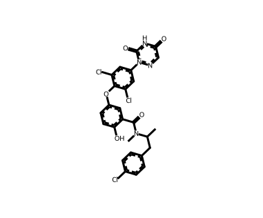 CC(Cc1ccc(Cl)cc1)N(C)C(=O)c1cc(Oc2c(Cl)cc(-n3ncc(=O)[nH]c3=O)cc2Cl)ccc1O